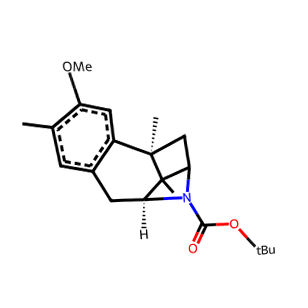 COc1cc2c(cc1C)C[C@@H]1N(C(=O)OC(C)(C)C)C3C[C@@]2(C)C31C